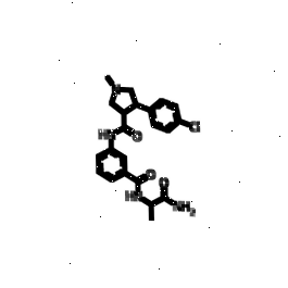 CC(NC(=O)c1cccc(NC(=O)C2CN(C)CC2c2ccc(Cl)cc2)c1)C(N)=O